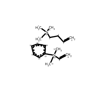 C=CCC[Si](C)(C)C.C=C[Si](C)(C)c1ccccc1